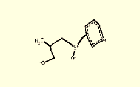 CC(C[O])C[S+]([O-])c1cccnc1